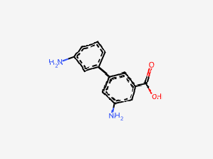 Nc1cccc(-c2cc(N)cc(C(=O)O)c2)c1